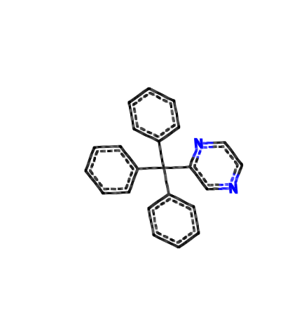 c1ccc(C(c2ccccc2)(c2ccccc2)c2cnccn2)cc1